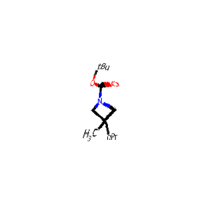 CCCC1(C)CN(C(=O)OC(C)(C)C)C1